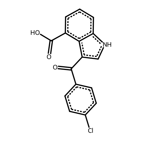 O=C(O)c1cccc2[nH]cc(C(=O)c3ccc(Cl)cc3)c12